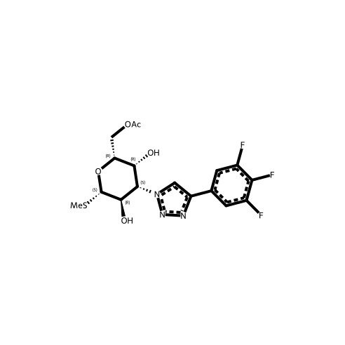 CS[C@@H]1O[C@H](COC(C)=O)[C@H](O)[C@H](n2cc(-c3cc(F)c(F)c(F)c3)nn2)[C@H]1O